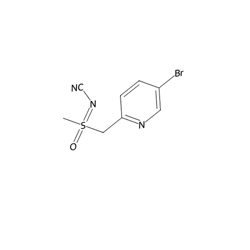 CS(=O)(Cc1ccc(Br)cn1)=NC#N